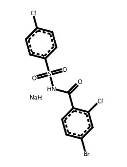 O=C(NS(=O)(=O)c1ccc(Cl)cc1)c1ccc(Br)cc1Cl.[NaH]